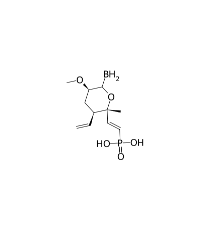 BC1O[C@](C)(/C=C/P(=O)(O)O)[C@@H](C=C)C[C@H]1OC